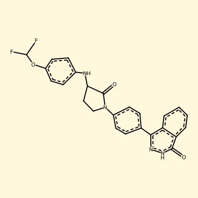 O=C1C(Nc2ccc(OC(F)F)cc2)CCN1c1ccc(-c2n[nH]c(=O)c3ccccc23)cc1